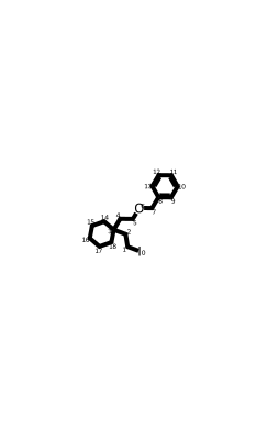 ICCC1(CCOCc2ccccc2)CCCCC1